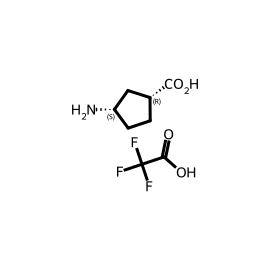 N[C@H]1CC[C@@H](C(=O)O)C1.O=C(O)C(F)(F)F